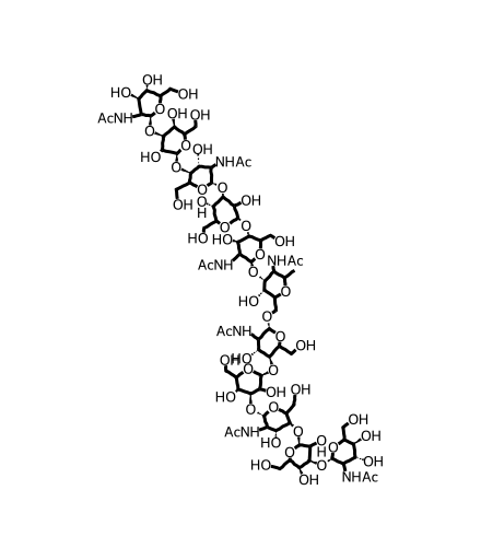 CC(=O)NC1[C@H](O[C@@H]2C(O)[C@H](O[C@@H]3C(CO)O[C@@H](O[C@@H]4C(O)[C@H](O[C@@H]5C(CO)O[C@@H](OCC6OC(C)C(NC(C)=O)[C@@H](O[C@@H]7OC(CO)[C@@H](O[C@@H]8OC(CO)[C@H](O)[C@H](O[C@@H]9OC(CO)[C@@H](O[C@@H]%10OC(CO)[C@H](O)[C@H](O[C@@H]%11OC(CO)[C@@H](O)[C@H](O)C%11NC(C)=O)C%10O)[C@H](O)C9NC(C)=O)C8O)[C@H](O)C7NC(C)=O)[C@H]6O)C(NC(C)=O)[C@H]5O)OC(CO)[C@@H]4O)C(NC(C)=O)[C@H]3O)OC(CO)[C@@H]2O)OC(CO)[C@@H](O)[C@@H]1O